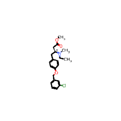 CCN(C)[C@H](CC(=O)OC)Cc1ccc(OCc2cccc(Cl)c2)cc1